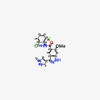 COc1cc2[nH]nc(-c3cnn(C)c3)c2cc1C(=O)Nc1c(F)cccc1Cl